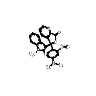 CCOc1cc(N(CC)CC)ccc1C1(c2c(C)n(C)c3ccccc23)OC(=O)c2ncccc21